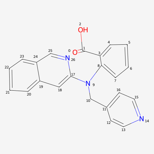 O=C(O)c1ccccc1N(Cc1ccncc1)c1cc2ccccc2cn1